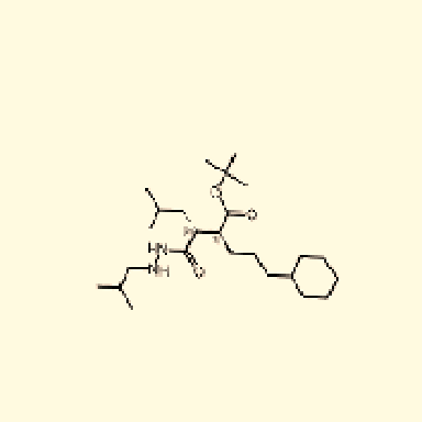 CC(C)CNNC(=O)[C@H](CC(C)C)[C@H](CCCC1CCCCC1)C(=O)OC(C)(C)C